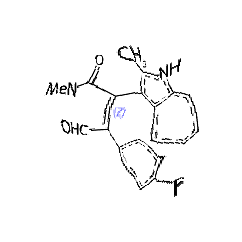 CNC(=O)/C(=C(\C=O)c1ccc(F)cc1)c1c(C)[nH]c2ccccc12